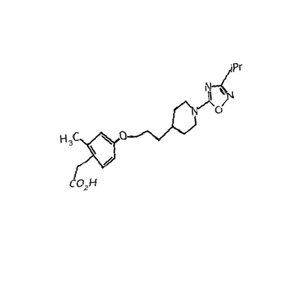 Cc1cc(OCCCC2CCN(c3nc(C(C)C)no3)CC2)ccc1CC(=O)O